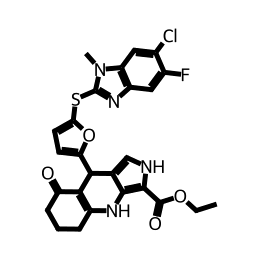 CCOC(=O)c1[nH]cc2c1NC1=C(C(=O)CCC1)C2c1ccc(Sc2nc3cc(F)c(Cl)cc3n2C)o1